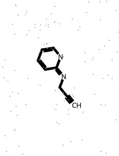 C#CC/N=C1\C=CC=C[N]1